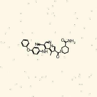 Cc1c(C(=O)N2CCCC(C(N)=O)C2)cn2ncc(C#N)c(Nc3ccc(Oc4ccccc4)cc3)c12